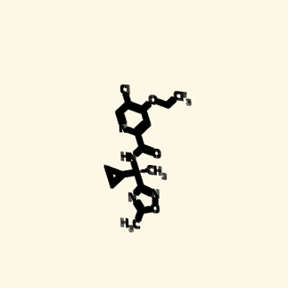 Cc1nc([C@](C)(NC(=O)c2cc(OCC(F)(F)F)c(Cl)cn2)C2CC2)no1